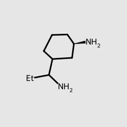 CCC(N)C1CCC[C@@H](N)C1